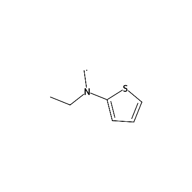 [CH2]N(CC)c1cccs1